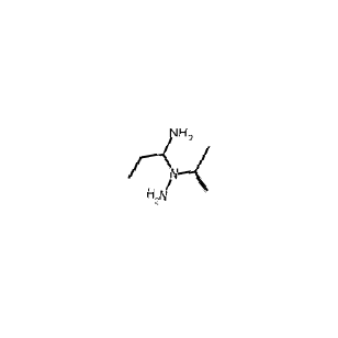 CCC(N)N(N)C(C)C